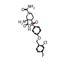 NC(=O)N1CCC(S(=O)(=O)c2ccc(OCc3ccc(F)cc3Cl)cc2)C(N)(C(=O)O)C1